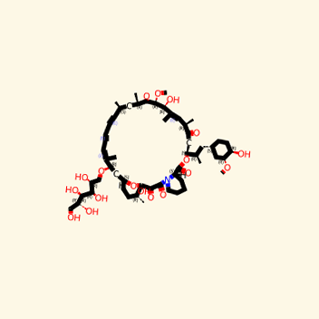 CO[C@@H]1C[C@H](C[C@@H](C)[C@@H]2CC(=O)[C@H](C)/C=C(\C)[C@@H](O)[C@@H](OC)C(=O)[C@H](C)C[C@H](C)/C=C/C=C/C=C(\C)[C@H](OC[C@@H](O)[C@@H](O)[C@H](O)[C@H](O)CO)C[C@@H]3CC[C@@H](C)[C@@](O)(O3)C(=O)C(=O)N3CCCC[C@H]3C(=O)O2)CC[C@H]1O